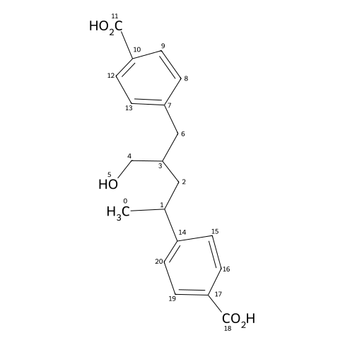 CC(CC(CO)Cc1ccc(C(=O)O)cc1)c1ccc(C(=O)O)cc1